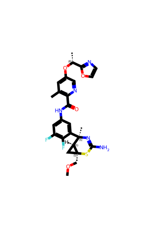 COC[C@]12C[C@H]1[C@@](C)(c1cc(NC(=O)c3ncc(O[C@H](C)c4ncco4)cc3C)cc(F)c1F)N=C(N)S2